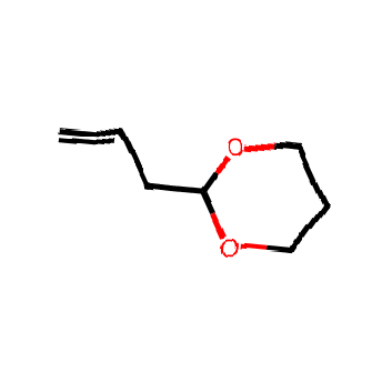 C=CCC1OCCCO1